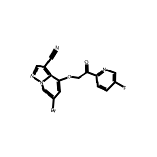 N#Cc1cnn2cc(Br)cc(OCC(=O)c3ccc(F)cn3)c12